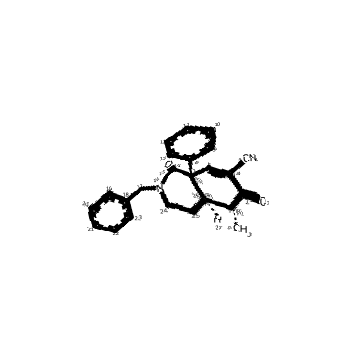 C[C@H]1C(=O)C(C#N)=C[C@@]2(c3ccccc3)C(=O)N(Cc3ccccc3)CC[C@H]12